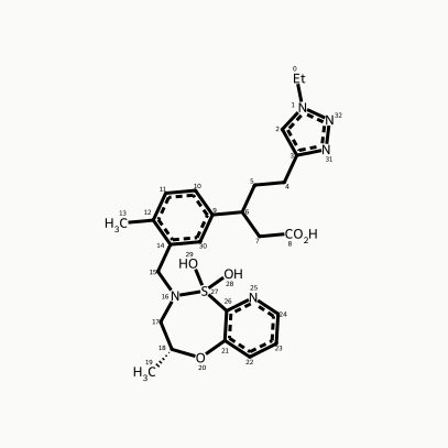 CCn1cc(CCC(CC(=O)O)c2ccc(C)c(CN3C[C@@H](C)Oc4cccnc4S3(O)O)c2)nn1